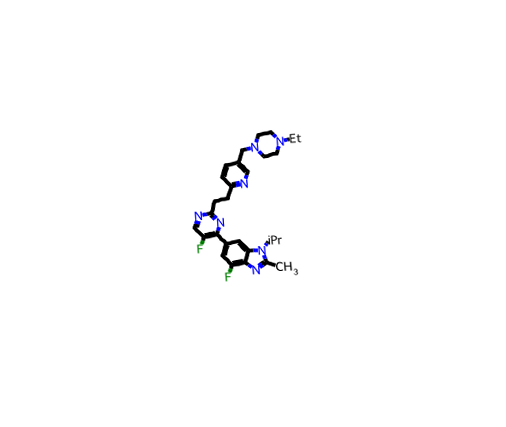 CCN1CCN(Cc2ccc(CCc3ncc(F)c(-c4cc(F)c5nc(C)n(C(C)C)c5c4)n3)nc2)CC1